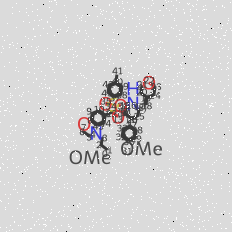 COCCCN1CCOc2ccc(C(O[C@H]3CN[C@H](C=C4CCOCC4)C[C@@H]3c3ccc(OC)cc3)S(=O)(=O)c3ccc(C)cc3)cc21